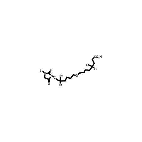 CCN1CC(=O)N(CCC(CC)(CC)CCCCOCCCCC(CC)(CC)CCC(=O)O)C1=O